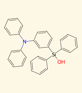 O[Si](c1ccccc1)(c1ccccc1)c1cccc(N(c2ccccc2)c2ccccc2)c1